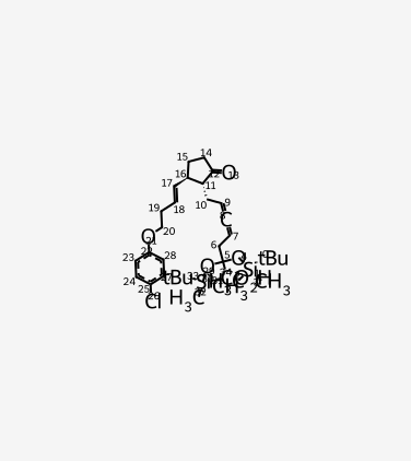 CC(C)(C)[Si](C)(C)OC(CC=C=CC[C@H]1C(=O)CC[C@@H]1/C=C/CCOc1ccc(Cl)cc1)(O[Si](C)(C)C(C)(C)C)C(=O)O